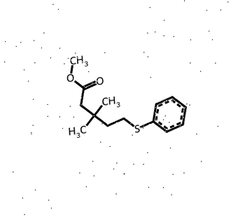 COC(=O)CC(C)(C)CCSc1ccccc1